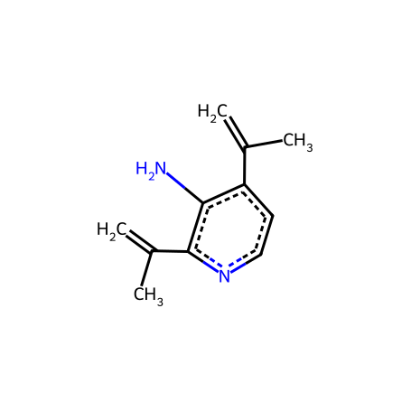 C=C(C)c1ccnc(C(=C)C)c1N